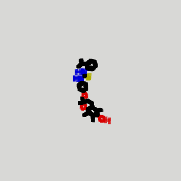 Cc1c(C)c2c(c(C)c1O)CCC(C)(COc1ccc(NC(=S)Nc3ccccc3C(C)C)cc1)O2